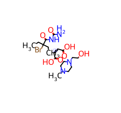 CCC(Br)(CC)C(=O)NC(N)=O.CN1CCN(CCO)CC1.O=C(O)/C=C\C(=O)O